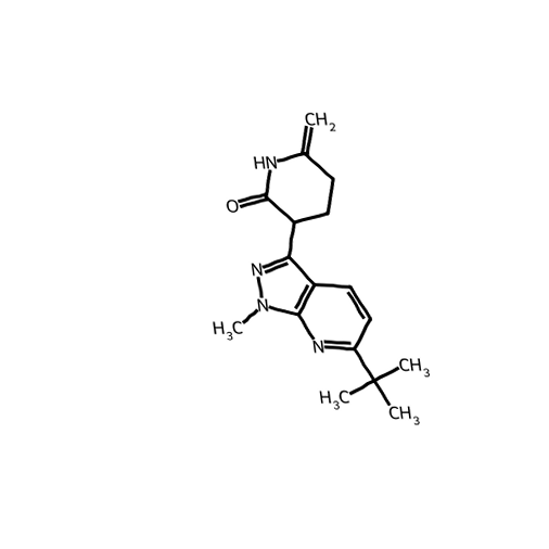 C=C1CCC(c2nn(C)c3nc(C(C)(C)C)ccc23)C(=O)N1